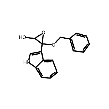 OC1OC1(OCc1ccccc1)c1c[nH]c2ccccc12